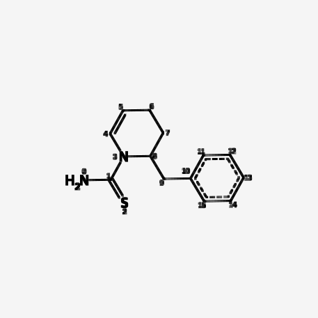 NC(=S)N1C=CCCC1Cc1ccccc1